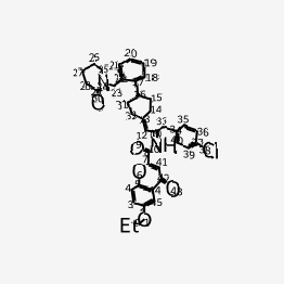 CCOc1ccc2oc(C(=O)N[C@@H](C=C3CCC(c4ccccc4CN4CCCCC4=O)CC3)Cc3ccc(Cl)cc3)cc(=O)c2c1